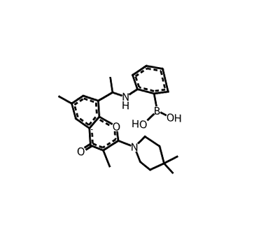 Cc1cc(C(C)Nc2ccccc2B(O)O)c2oc(N3CCC(C)(C)CC3)c(C)c(=O)c2c1